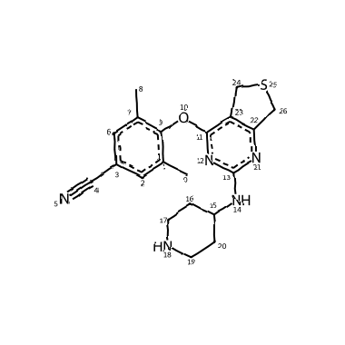 Cc1cc(C#N)cc(C)c1Oc1nc(NC2CCNCC2)nc2c1CSC2